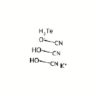 N#CO.N#CO.N#C[O-].[K+].[TeH2]